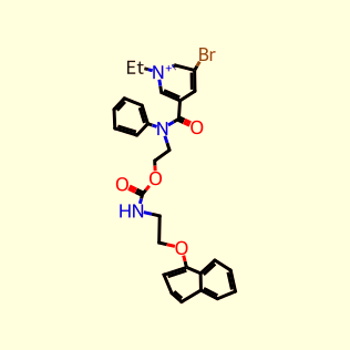 CC[n+]1cc(Br)cc(C(=O)N(CCOC(=O)NCCOc2cccc3ccccc23)c2ccccc2)c1